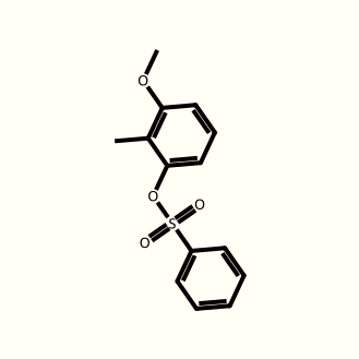 COc1cccc(OS(=O)(=O)c2ccccc2)c1C